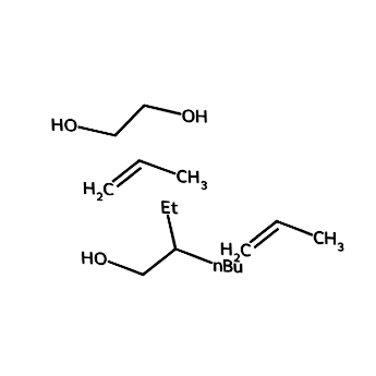 C=CC.C=CC.CCCCC(CC)CO.OCCO